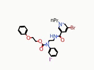 CCC[n+]1cc(Br)cc(C(=O)NCCN(C(=O)OCCOc2ccccc2)c2ccccc2)c1.[I-]